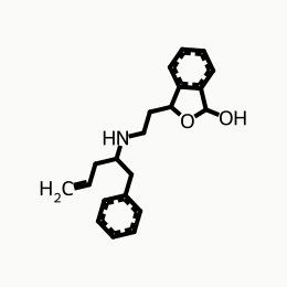 C=CCC(Cc1ccccc1)NCCC1OC(O)c2ccccc21